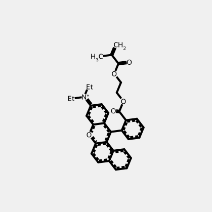 C=C(C)C(=O)OCCOC(=O)c1ccccc1-c1c2ccc(=[N+](CC)CC)cc-2oc2ccc3ccccc3c12